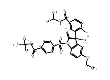 CCOc1ccc2c(c1)C(C)(c1cc(C(=O)NC(C)O)ccc1Cl)C(=O)N2S(=O)(=O)c1ccc(C(=O)NC(C)(C)C)cc1